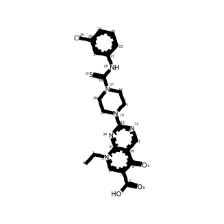 CCn1cc(C(=O)O)c(=O)c2cnc(N3CCN(C(=S)Nc4cccc(Cl)c4)CC3)nc21